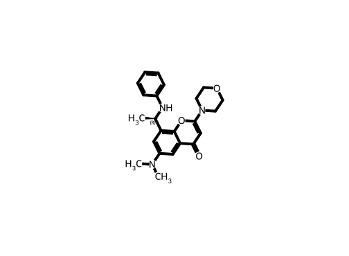 C[C@@H](Nc1ccccc1)c1cc(N(C)C)cc2c(=O)cc(N3CCOCC3)oc12